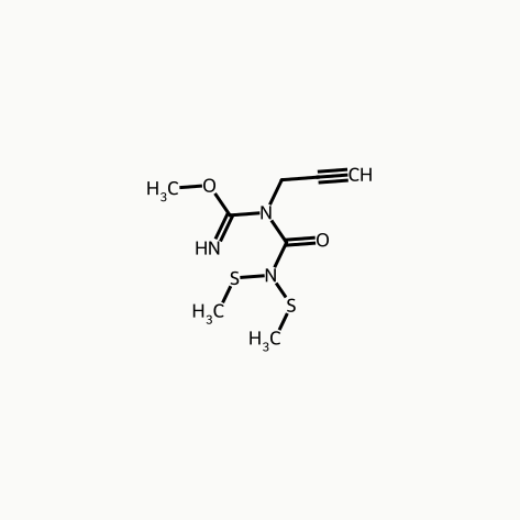 C#CCN(C(=N)OC)C(=O)N(SC)SC